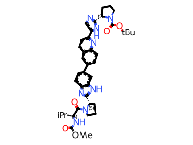 COC(=O)N[C@H](C(=O)N1CCC[C@H]1c1nc2ccc(-c3ccc4nc(-c5cnc([C@@H]6CCCN6C(=O)OC(C)(C)C)[nH]5)ccc4c3)cc2[nH]1)C(C)C